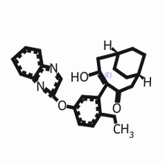 CCc1ccc(Oc2cnc3ccccc3n2)cc1/C1=C(\O)C[C@H]2CC[C@H](CC2)CC1=O